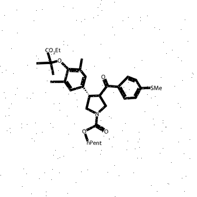 CCCCCOC(=O)N1CC(C(=O)c2ccc(SC)cc2)[C@@H](c2cc(C)c(OC(C)(C)C(=O)OCC)c(C)c2)C1